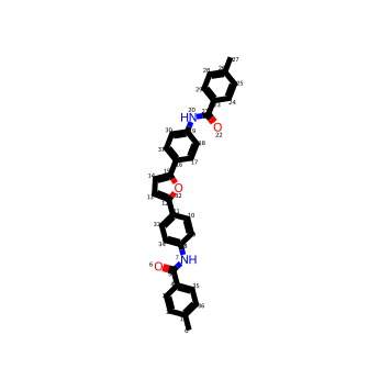 Cc1ccc(C(=O)Nc2ccc(-c3ccc(-c4ccc(NC(=O)c5ccc(C)cc5)cc4)o3)cc2)cc1